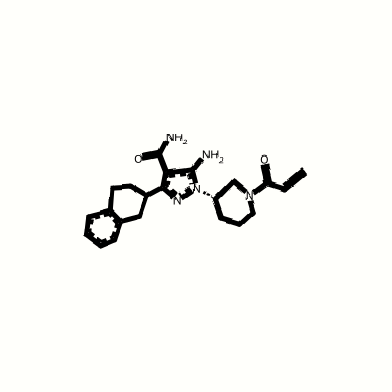 C=CC(=O)N1CCC[C@H](n2nc(C3CCc4ccccc4C3)c(C(N)=O)c2N)C1